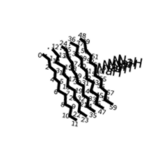 [CH2]CCCCCCCCCCC.[CH2]CCCCCCCCCCC.[CH2]CCCCCCCCCCC.[CH2]CCCCCCCCCCC.[CH2]CCCCCCCCCCC.[NaH].[NaH].[NaH].[NaH].[NaH]